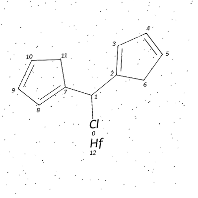 ClC(C1=CC=CC1)C1=CC=CC1.[Hf]